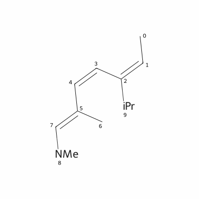 C\C=C(/C=C\C(C)=C\NC)C(C)C